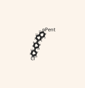 CCCCCc1ccc2cc(-c3ccc(-c4ccc(Cl)cc4)cc3)ccc2c1